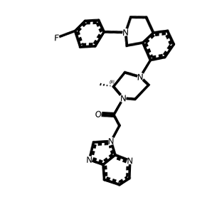 C[C@@H]1CN(c2cccc3c2CN(c2ccc(F)cc2)CC3)CCN1C(=O)Cn1cnc2cccnc21